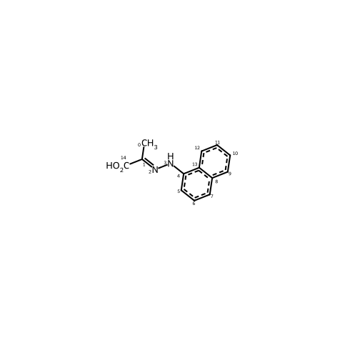 CC(=NNc1cccc2ccccc12)C(=O)O